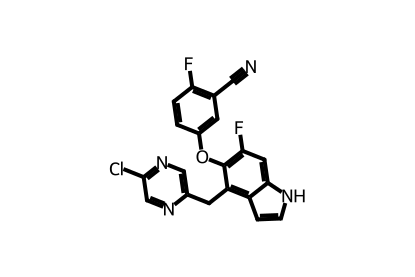 N#Cc1cc(Oc2c(F)cc3[nH]ccc3c2Cc2cnc(Cl)cn2)ccc1F